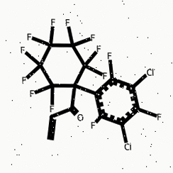 C=CC(=O)C1(c2c(F)c(Cl)c(F)c(Cl)c2F)C(F)(F)C(F)(F)C(F)(F)C(F)(F)C1(F)F